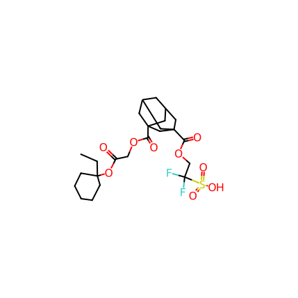 CCC1(OC(=O)COC(=O)C23CC4CC(C2)CC(C(=O)OCC(F)(F)S(=O)(=O)O)(C4)C3)CCCCC1